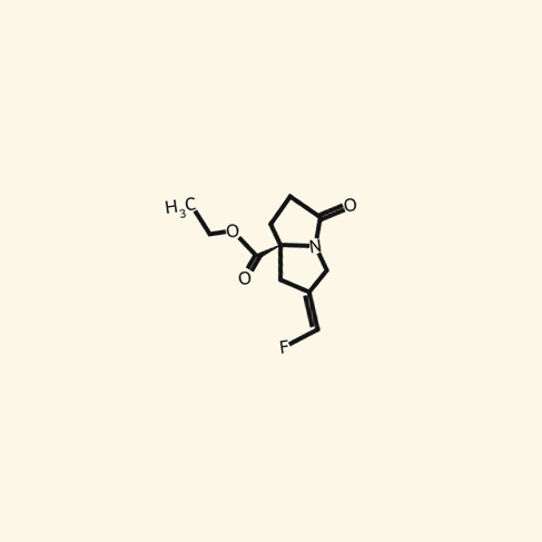 CCOC(=O)[C@@]12CCC(=O)N1C/C(=C/F)C2